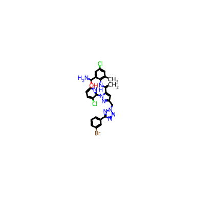 C=C(Nc1c(C)cc(Cl)cc1C(N)O)c1cc(Cn2nnc(-c3cccc(Br)c3)n2)nn1-c1ncccc1Cl